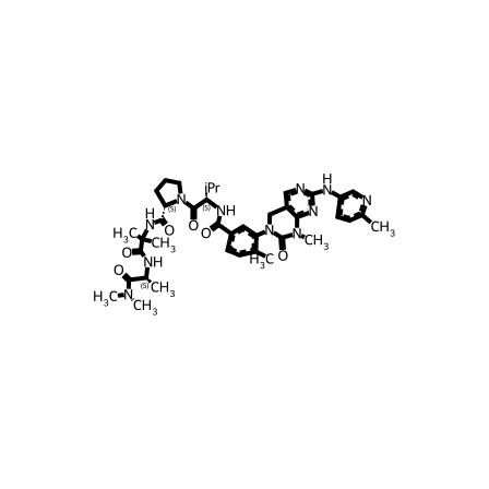 Cc1ccc(Nc2ncc3c(n2)N(C)C(=O)N(c2cc(C(=O)N[C@H](C(=O)N4CCC[C@H]4C(=O)NC(C)(C)C(=O)N[C@@H](C)C(=O)N(C)C)C(C)C)ccc2C)C3)cn1